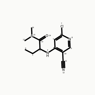 CCC(Nc1cc(Cl)ncc1C#N)C(=O)N(C)C